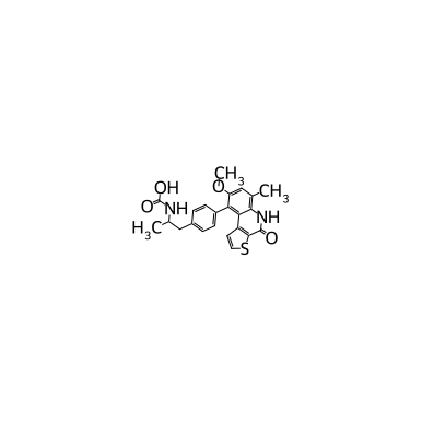 COc1cc(C)c2[nH]c(=O)c3sccc3c2c1-c1ccc(CC(C)NC(=O)O)cc1